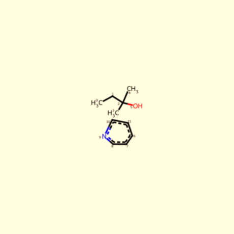 CCC(C)(C)O.c1ccncc1